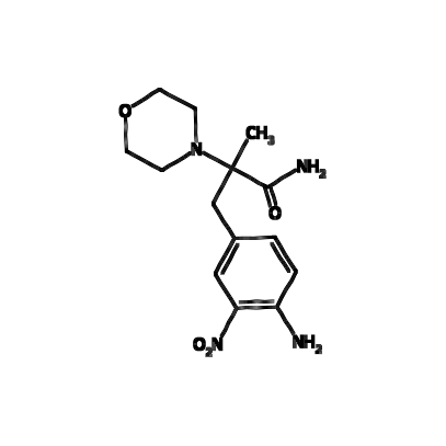 CC(Cc1ccc(N)c([N+](=O)[O-])c1)(C(N)=O)N1CCOCC1